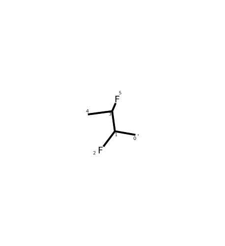 [CH2]C(F)C(C)F